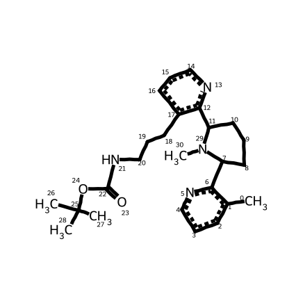 Cc1cccnc1C1CCCC(c2ncccc2CCCNC(=O)OC(C)(C)C)N1C